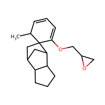 CC1C=CC=C(OCC2CO2)C12CC1CC2C2CCCC12